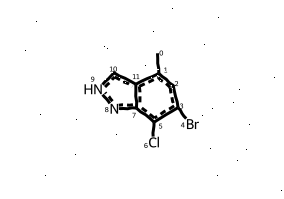 Cc1cc(Br)c(Cl)c2n[nH]cc12